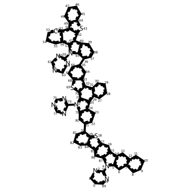 c1cnc(-n2c3cc4ccccc4cc3c3cc4sc5c(-c6ccc7c8c9ccccc9c9c%10cc(-c%11cccc%12c%13c%14sc%15ccccc%15c%14c%14ccccc%14c%13n(-c%13ncncn%13)c%11%12)ccc%10sc9c8n(-c8ncncn8)c7c6)cccc5c4cc32)nc1